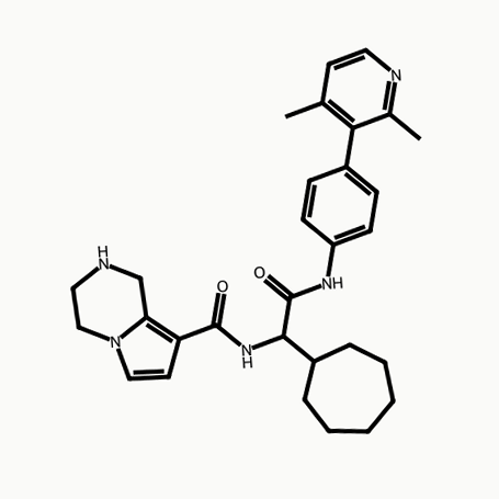 Cc1ccnc(C)c1-c1ccc(NC(=O)C(NC(=O)c2ccn3c2CNCC3)C2CCCCCC2)cc1